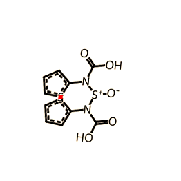 O=C(O)N(c1cccs1)[S+]([O-])N(C(=O)O)c1cccs1